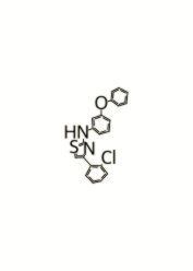 Clc1ccccc1-c1csc(Nc2cccc(Oc3ccccc3)c2)n1